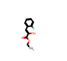 CCOC(=O)/C(O)=C/c1ccccc1F